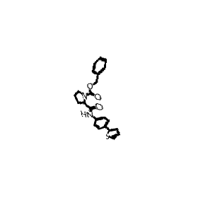 O=C(Nc1ccc(-c2cccs2)cc1)C1CCCN1C(=O)OCc1ccccc1